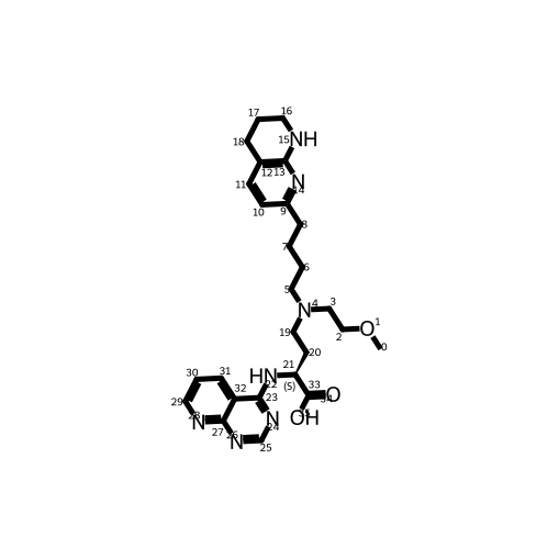 COCCN(CCCCc1ccc2c(n1)NCCC2)CC[C@H](Nc1ncnc2ncccc12)C(=O)O